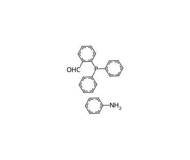 Nc1ccccc1.O=Cc1ccccc1P(c1ccccc1)c1ccccc1